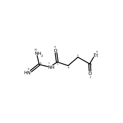 CCC(=O)CCC(=O)NC(=N)N